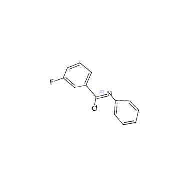 Fc1cccc(/C(Cl)=N/c2ccccc2)c1